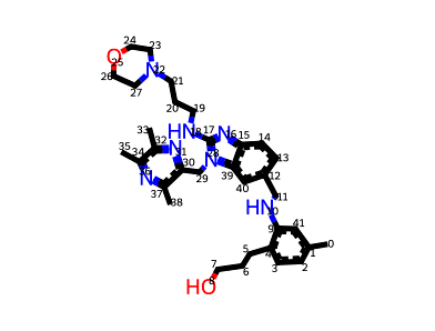 Cc1ccc(CCCO)c(NCc2ccc3nc(NCCCN4CCOCC4)n(Cc4nc(C)c(C)nc4C)c3c2)c1